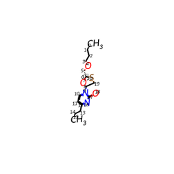 CCCCOC[C@H]1OC(n2ccc(CCC)nc2=O)CS1